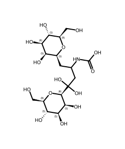 O=C(O)NC(C[C@@H]1O[C@H](CO)[C@@H](O)[C@H](O)[C@@H]1O)CC(O)(O)[C@@H]1O[C@H](CO)[C@@H](O)[C@H](O)[C@@H]1O